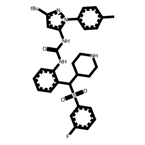 Cc1ccc(-n2nc(C(C)(C)C)cc2NC(=O)Nc2ccccc2C(C2CCNCC2)S(=O)(=O)c2cccc(F)c2)cc1